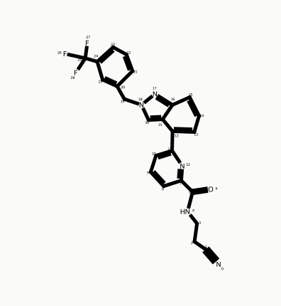 N#CCCNC(=O)c1cccc(-c2cccc3nn(Cc4cccc(C(F)(F)F)c4)cc23)n1